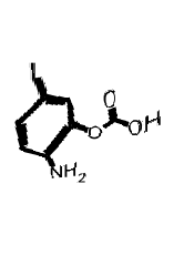 Nc1ccc(I)cc1OC(=O)O